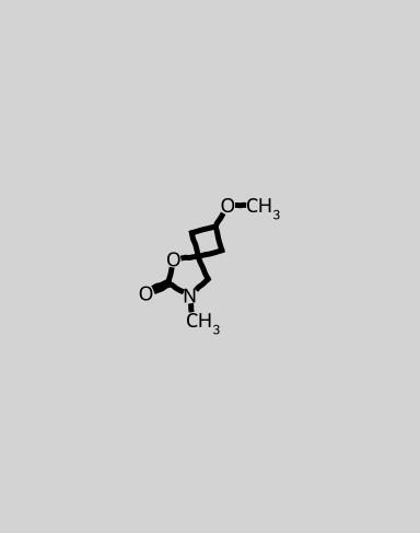 COC1CC2(C1)CN(C)C(=O)O2